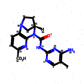 Cc1cnc(NC(=O)N2c3nc(C(=O)O)ccc3N3CC[C@H]2C3)nc1N